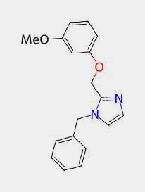 COc1cccc(OCc2nccn2Cc2ccccc2)c1